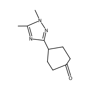 Cc1nc(C2CCC(=O)CC2)nn1C